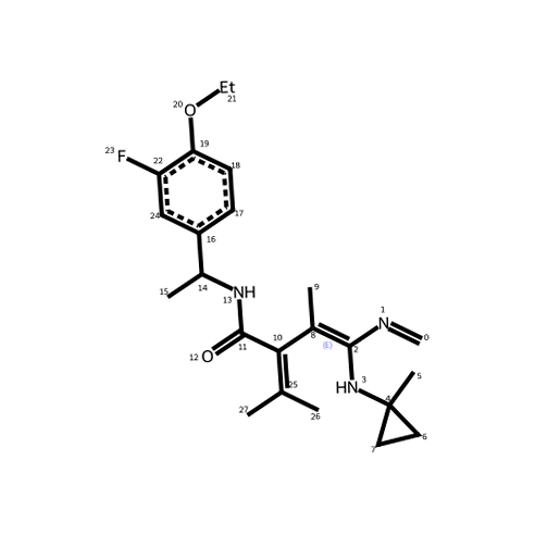 C=N/C(NC1(C)CC1)=C(\C)C(C(=O)NC(C)c1ccc(OCC)c(F)c1)=C(C)C